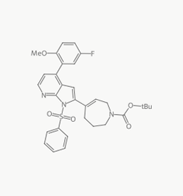 COc1ccc(F)cc1-c1ccnc2c1cc(C1=CCN(C(=O)OC(C)(C)C)CCC1)n2S(=O)(=O)c1ccccc1